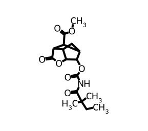 CCC(C)(C)C(=O)NC(=O)OC1C2CC3C1OC(=O)C3C2C(=O)OC